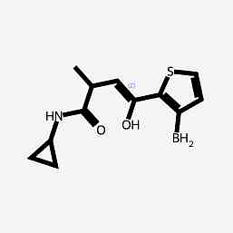 Bc1ccsc1/C(O)=C/C(C)C(=O)NC1CC1